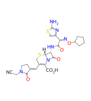 N#CCN1CC/C(=C\C2=C(C(=O)O)N3C(=O)[C@@H](NC(=O)/C(=N\OC4CCCC4)c4csc(N)n4)[C@H]3SC2)C1=O